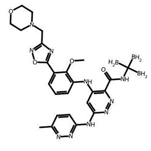 BC(B)(B)NC(=O)c1nnc(Nc2ccc(C)nn2)cc1Nc1cccc(-c2nc(CN3CCOCC3)no2)c1OC